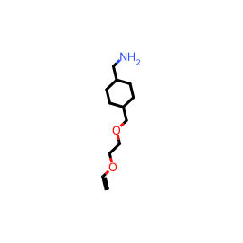 C=COCCOCC1CCC(CN)CC1